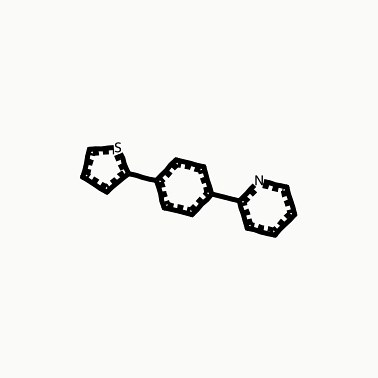 c1ccc(-c2ccc(-c3cccs3)cc2)nc1